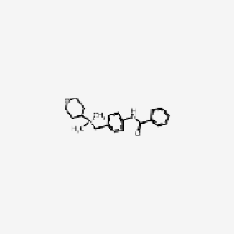 C[N+](C)(Cc1ccc(NC(=O)c2ccccc2)cc1)C1CCOCC1